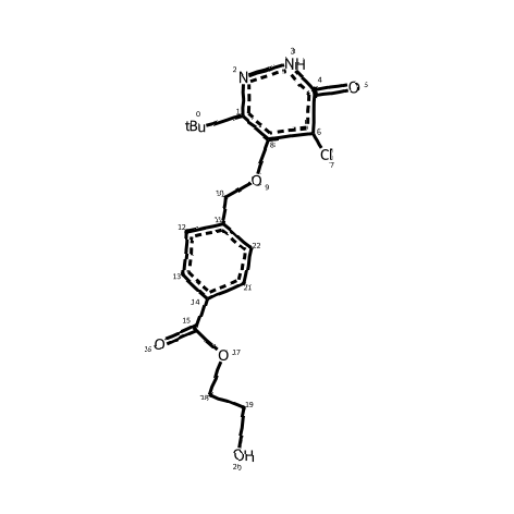 CC(C)(C)c1n[nH]c(=O)c(Cl)c1OCc1ccc(C(=O)OCCO)cc1